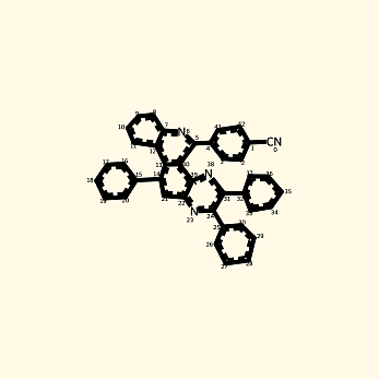 N#Cc1ccc(-c2nc3ccccc3c3c(-c4ccccc4)cc4nc(-c5ccccc5)c(-c5ccccc5)nc4c23)cc1